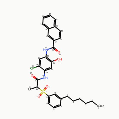 CCCCCCCCCCCCCCCc1cccc(S(=O)(=O)C(CC)C(=O)Nc2cc(O)c(NC(=O)c3ccc4ccccc4c3)cc2Cl)c1